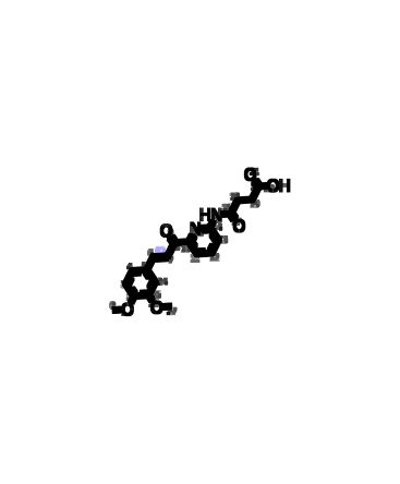 COc1ccc(/C=C/C(=O)c2cccc(NC(=O)CCC(=O)O)n2)cc1OC